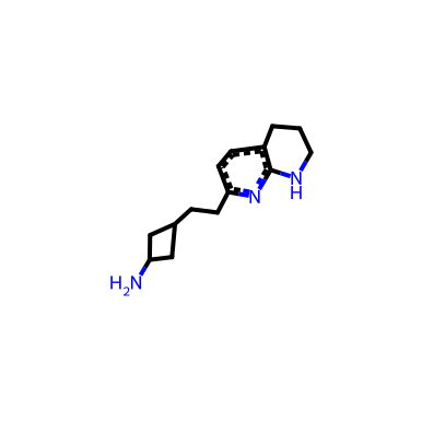 NC1CC(CCc2ccc3c(n2)NCCC3)C1